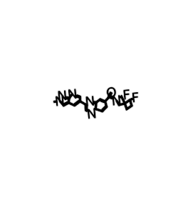 Cn1cc2cc(-c3cnc4ccc(C(=O)N5CC6(CCC6(F)F)C5)cc4n3)cnc2n1